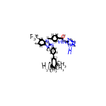 Cn1c(=Nc2ccc(C3CC(C)(C)CC(C)(C)C3)cc2)n(Cc2ccc(C(=O)Nc3nnn[nH]3)cc2)c2cc(C(F)(F)F)ccc21